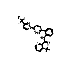 O=C(Nc1ccccc1-c1ccc(-n2ccc(C(F)(F)F)n2)nn1)c1ncccc1C(F)(F)F